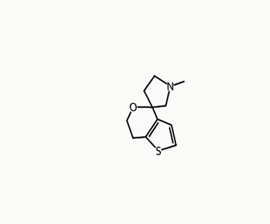 CN1CCC2(C1)OCCc1sccc12